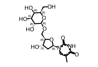 Cc1cn([C@H]2C[C@H](O)[C@@H](CO[C@@H]3O[C@H](CO)[C@H](O)[C@H](O)[C@H]3O)O2)c(=O)[nH]c1=O